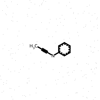 CC#C[N]c1ccccc1